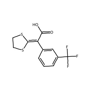 O=C(O)C(=C1SCCS1)c1cccc(C(F)(F)F)c1